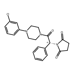 O=C([C@@H](c1ccccc1)N1C(=O)CCC1=O)N1CCN(c2cccc(Cl)c2)CC1